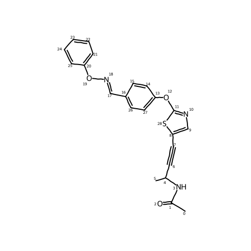 CC(=O)NC(C)C#Cc1cnc(Oc2ccc(C=NOc3ccccc3)cc2)s1